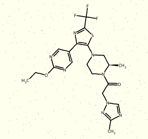 CCOc1ncc(-c2nc(C(F)(F)F)sc2N2CCN(C(=O)Cn3cnc(C)n3)[C@H](C)C2)cn1